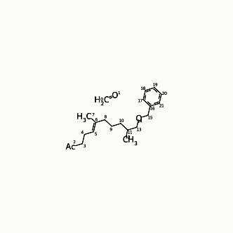 C=O.CC(=O)CCC=C(C)CCCC(C)COCc1ccccc1